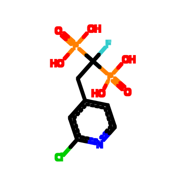 O=P(O)(O)C(F)(Cc1ccnc(Cl)c1)P(=O)(O)O